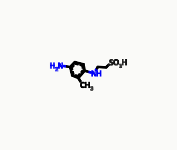 Cc1cc(N)ccc1NCCS(=O)(=O)O